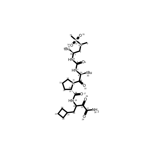 CN(C[C@@H](NC(=O)N[C@H](C(=O)N1CCC[C@H]1C(=O)NC(CC1CCC1)C(=O)C(N)=O)C(C)(C)C)C(C)(C)C)S(C)(=O)=O